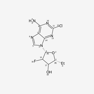 CC[C@H]1O[C@@H](n2cnc3c(N)nc(Cl)nc32)C(F)C1O